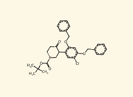 CC(C)(C)OC(=O)N1CCC(=O)C(c2cc(Cl)c(OCc3ccccc3)cc2OCc2ccccc2)C1